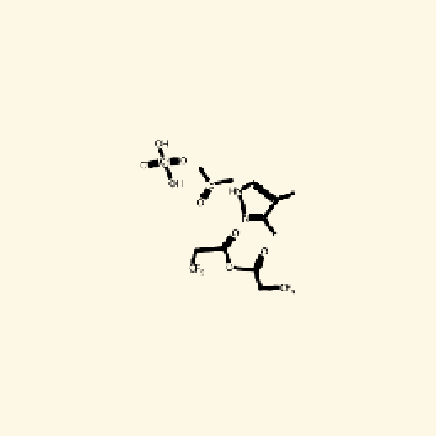 CS(C)=O.Cc1c[nH]nc1C.O=C(CC(F)(F)F)OC(=O)CC(F)(F)F.[O]=[Cr](=[O])([OH])[OH]